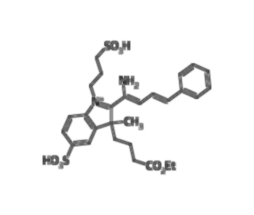 CCOC(=O)CCCC1(C)C(C(N)=CC=Cc2ccccc2)=[N+](CCCS(=O)(=O)O)c2ccc(S(=O)(=O)O)cc21